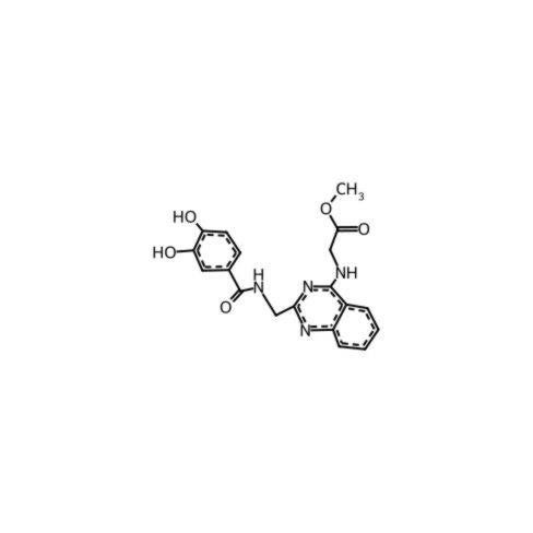 COC(=O)CNc1nc(CNC(=O)c2ccc(O)c(O)c2)nc2ccccc12